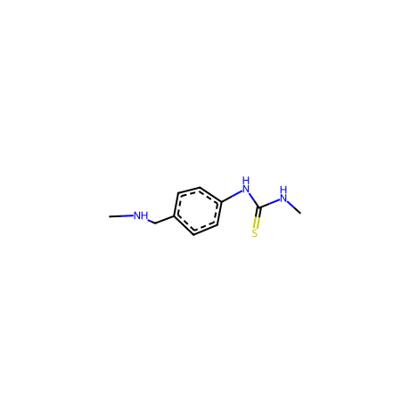 CNCc1ccc(NC(=S)NC)cc1